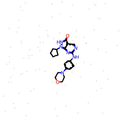 O=c1[nH]n(C2CCCC2)c2nc(Nc3ccc(N4CCOCC4)cc3)ncc12